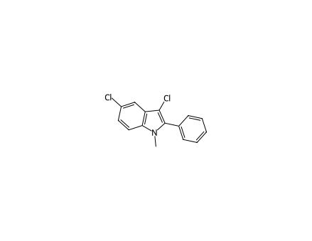 Cn1c(-c2ccccc2)c(Cl)c2cc(Cl)ccc21